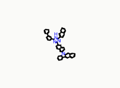 c1ccc(-c2cccc(C3N=C(c4ccc5cc(-n6c7ccccc7c7cc8ccccc8cc76)ccc5c4)N=C(c4ccc5ccccc5c4)N3)c2)cc1